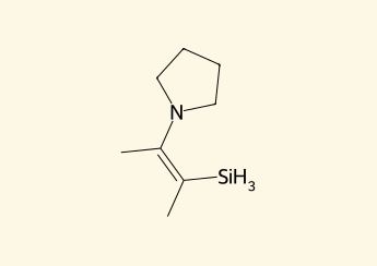 CC([SiH3])=C(C)N1CCCC1